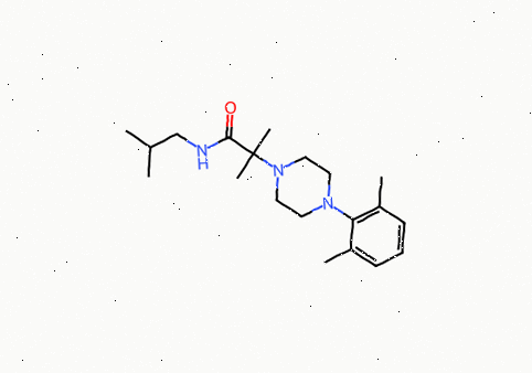 Cc1cccc(C)c1N1CCN(C(C)(C)C(=O)NCC(C)C)CC1